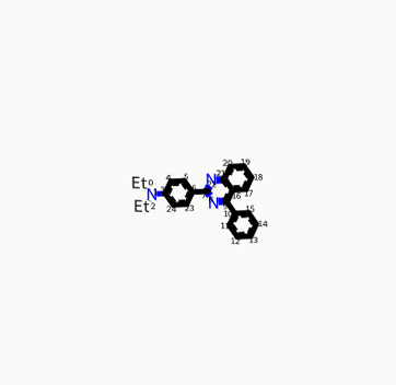 CCN(CC)c1ccc(-c2nc(-c3ccccc3)c3ccccc3n2)cc1